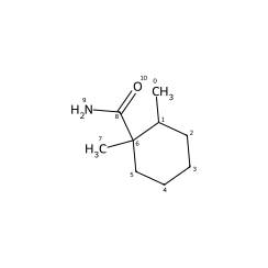 CC1CCCCC1(C)C(N)=O